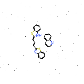 C(=Cc1nc2ccccc2s1)C=C1Nc2ccccc2S1.c1ccc2ncccc2c1